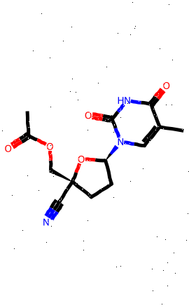 CC(=O)OC[C@]1(C#N)CC[C@H](n2cc(C)c(=O)[nH]c2=O)O1